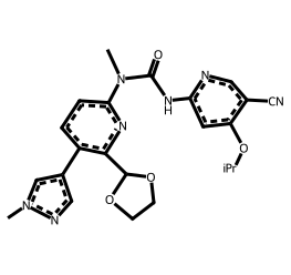 CC(C)Oc1cc(NC(=O)N(C)c2ccc(-c3cnn(C)c3)c(C3OCCO3)n2)ncc1C#N